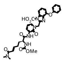 COC(=O)N[C@@H](CC/C=C/C(=O)N(C)C)C(=O)Nc1cccn(Cc2nc3c(Oc4ccccc4)cccc3n2C(=O)O)c1=O